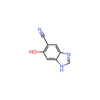 N#Cc1cc2nc[nH]c2cc1O